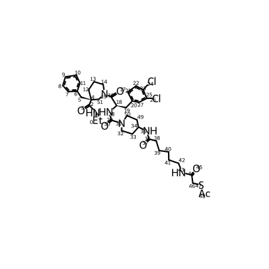 CCNC(=O)[C@]1(Cc2ccccc2)CCCN(C(=O)[C@@H](Cc2ccc(Cl)c(Cl)c2)NC(=O)N2CCC(NC(=O)CCCCCNC(=O)CSC(C)=O)CC2)C1